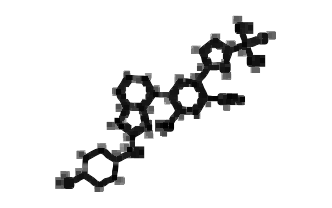 COc1cc(O)c(-c2cccc3nc(NC4CCC(O)CC4)sc23)cc1-c1ccc(P(=O)(O)O)o1